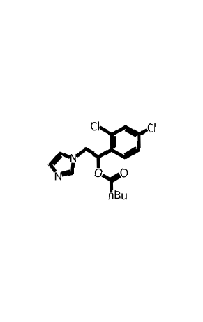 CCCCC(=O)OC(Cn1ccnc1)c1ccc(Cl)cc1Cl